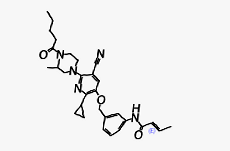 C/C=C/C(=O)Nc1cccc(COc2cc(C#N)c(N3CCN(C(=O)CCCC)C(C)C3)nc2C2CC2)c1